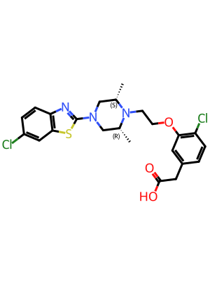 C[C@@H]1CN(c2nc3ccc(Cl)cc3s2)C[C@H](C)N1CCOc1cc(CC(=O)O)ccc1Cl